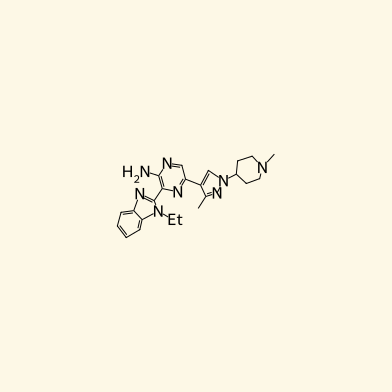 CCn1c(-c2nc(-c3cn(C4CCN(C)CC4)nc3C)cnc2N)nc2ccccc21